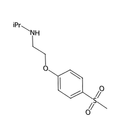 CC(C)NCCOc1ccc(S(C)(=O)=O)cc1